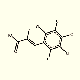 CC(=Cc1c(Cl)c(Cl)c(Cl)c(Cl)c1Cl)C(=O)O